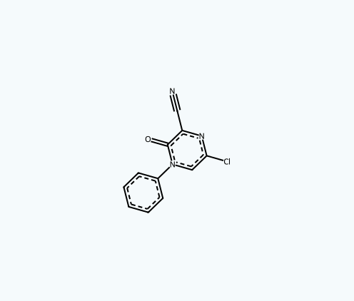 N#Cc1nc(Cl)cn(-c2ccccc2)c1=O